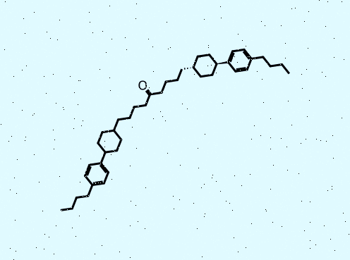 CCCCc1ccc(C2CCC(CCCCC(=O)CCCC[C@H]3CC[C@H](c4ccc(CCCC)cc4)CC3)CC2)cc1